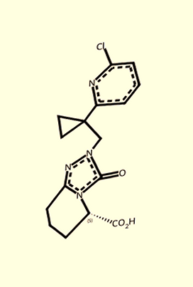 O=C(O)[C@@H]1CCCc2nn(CC3(c4cccc(Cl)n4)CC3)c(=O)n21